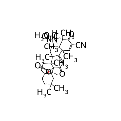 CN(C)N[C@@]12CC[C@]3(C)C(=CC(=O)[C@]45OC(=O)[C@@]6(CCC(C)(C)CC64)CC[C@@]35C)[C@@]1(C)C=C(C#N)C(=O)[C@@]2(C)C=O